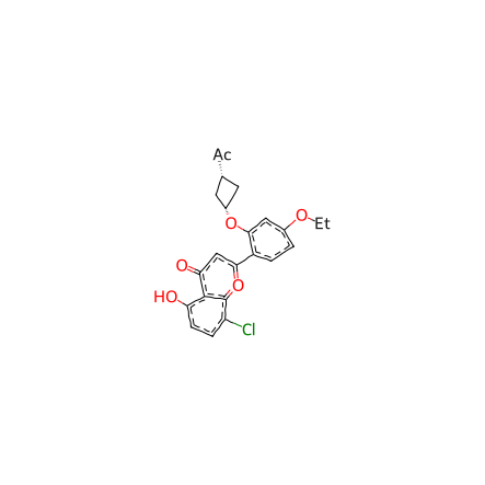 CCOc1ccc(-c2cc(=O)c3c(O)ccc(Cl)c3o2)c(O[C@H]2C[C@@H](C(C)=O)C2)c1